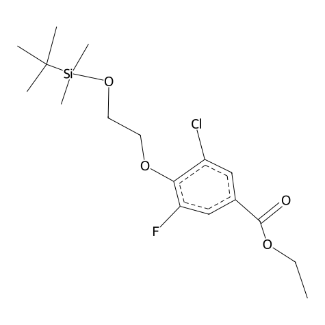 CCOC(=O)c1cc(F)c(OCCO[Si](C)(C)C(C)(C)C)c(Cl)c1